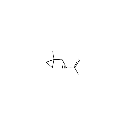 CC(=S)NCC1(C)CC1